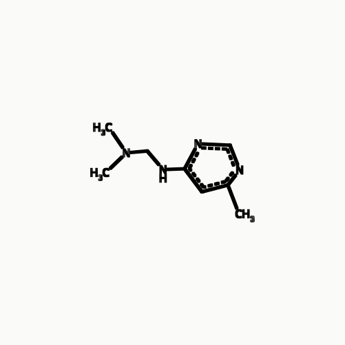 Cc1cc(NCN(C)C)ncn1